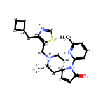 Cc1cccc(N2C(=O)C=C[C@]23CCN(Cc2scnc2CC2CCC2)[C@@H](C)C3)n1